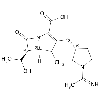 CC(=N)N1CC[C@@H](SC2=C(C(=O)O)N3C(=O)[C@H](C(C)O)[C@@H]3C2C)C1